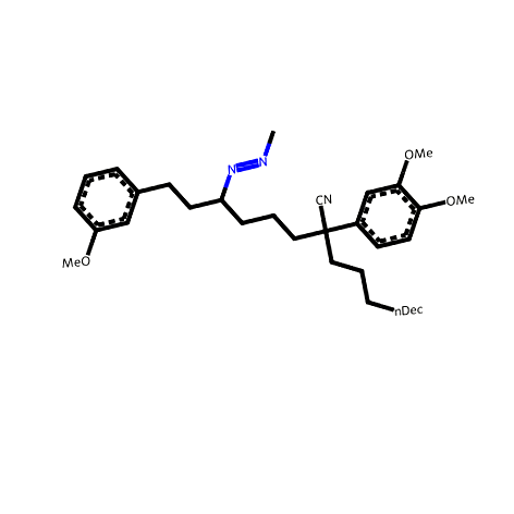 CCCCCCCCCCCCCC(C#N)(CCCC(CCc1cccc(OC)c1)N=NC)c1ccc(OC)c(OC)c1